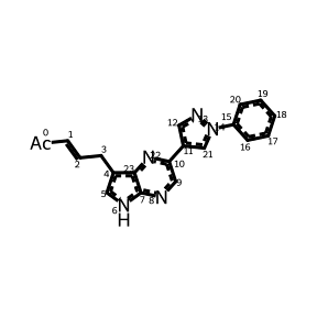 CC(=O)C=CCc1c[nH]c2ncc(-c3cnn(-c4ccccc4)c3)nc12